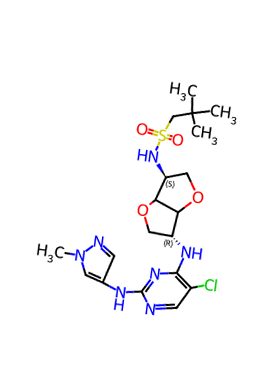 Cn1cc(Nc2ncc(Cl)c(N[C@@H]3COC4C3OC[C@@H]4NS(=O)(=O)CC(C)(C)C)n2)cn1